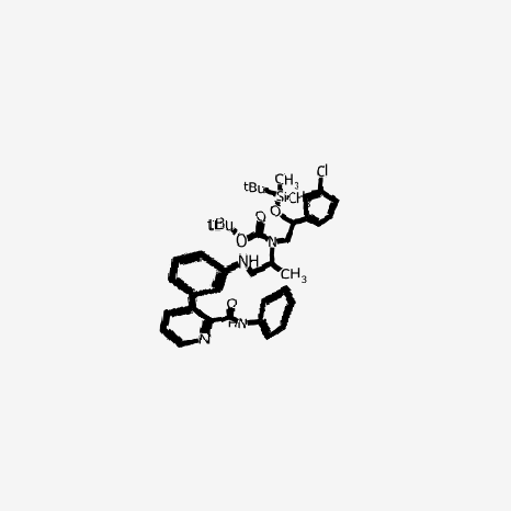 CC(CNc1cccc(-c2cccnc2C(=O)Nc2ccccc2)c1)N(CC(O[Si](C)(C)C(C)(C)C)c1cccc(Cl)c1)C(=O)OC(C)(C)C